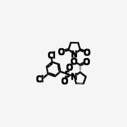 O=C(ON1C(=O)CCC1=O)[C@@H]1CCCN1S(=O)(=O)c1cc(Cl)cc(Cl)c1